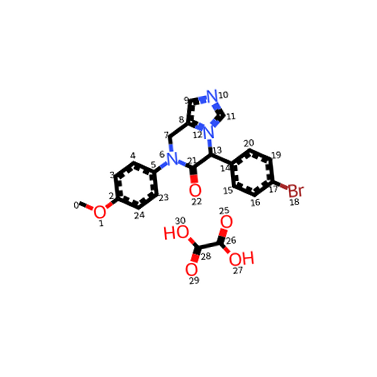 COc1ccc(N2Cc3cncn3C(c3ccc(Br)cc3)C2=O)cc1.O=C(O)C(=O)O